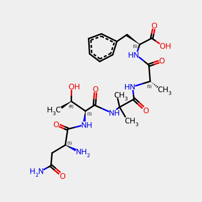 C[C@H](NC(=O)C(C)(C)NC(=O)[C@@H](NC(=O)[C@@H](N)CC(N)=O)[C@@H](C)O)C(=O)N[C@@H](Cc1ccccc1)C(=O)O